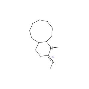 C/N=C1\CCC2CCCCCCCC2N1C